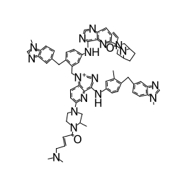 C=CC(=O)N1C2CCC1CN(c1ccc3ncnc(Nc4ccc(Cc5ccc6c(c5)ncn6C)c(C[n+]5cnc(Nc6ccc(Cc7ccc8c(c7)ncn8C)c(C)c6)c6nc(N7CCN(C(=O)/C=C/CN(C)C)C(C)C7)ccc65)c4)c3n1)C2